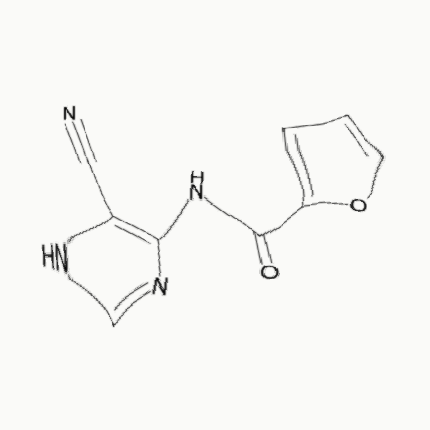 N#Cc1[nH]cnc1NC(=O)c1ccco1